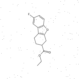 CCOC(=O)C1CCc2c(oc3ccc(F)cc23)C1